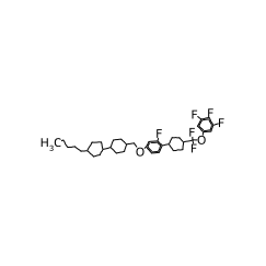 CCCCCC1CCC(C2CCC(COc3ccc(C4CCC(C(F)(F)Oc5cc(F)c(F)c(F)c5)CC4)c(F)c3)CC2)CC1